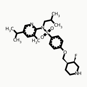 Cc1cc(C(C)C)cnc1N(CC(C)C)S(=O)(=O)c1ccc(OC[C@@H]2CCNC[C@@H]2F)cc1